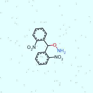 NOC(c1ccccc1[N+](=O)[O-])c1ccccc1[N+](=O)[O-]